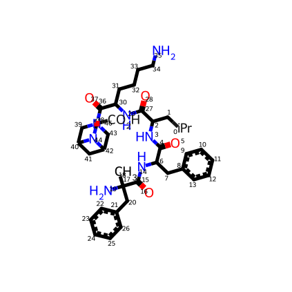 CC(C)CC(NC(=O)C(Cc1ccccc1)NC(=O)C(C)(N)Cc1ccccc1)C(=O)NC(CCCCN)C(=O)N1CC2CC(C1)N2CC(=O)O